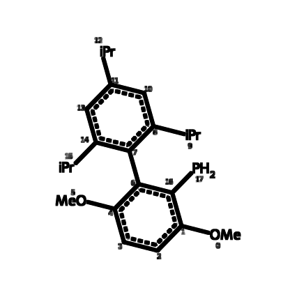 COc1ccc(OC)c(-c2c(C(C)C)cc(C(C)C)cc2C(C)C)c1P